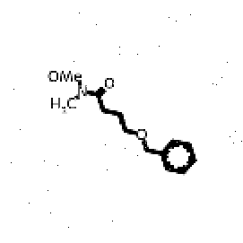 CON(C)C(=O)CCCOCc1ccccc1